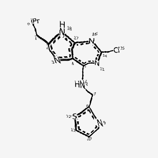 CC(C)Cc1nc2c(NCc3nccs3)nc(Cl)nc2[nH]1